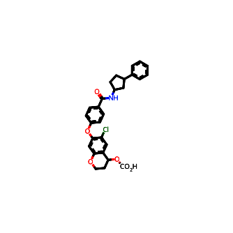 O=C(O)OC1CCOc2cc(Oc3ccc(C(=O)NC4CCC(c5ccccc5)C4)cc3)c(Cl)cc21